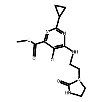 COC(=O)c1nc(C2CC2)nc(NCCN2CCNC2=O)c1Cl